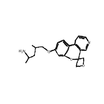 CC(N)CC(C)COc1ccc2c(c1)OC1(COC1)c1cnccc1-2